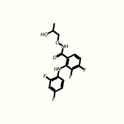 CC(O)CONC(=O)c1ccc(F)c(F)c1Nc1ccc(F)cc1F